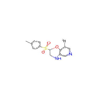 [2H]c1cncc2c1OC(S(=O)(=O)c1ccc(C)cc1)CN2